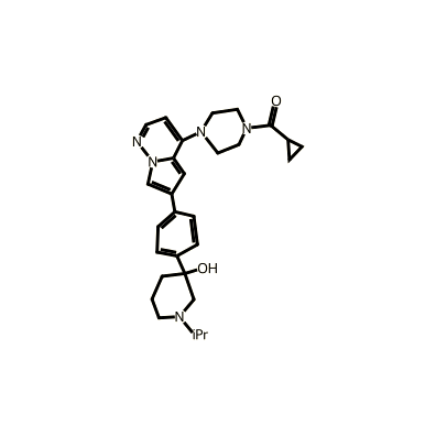 CC(C)N1CCCC(O)(c2ccc(-c3cc4c(N5CCN(C(=O)C6CC6)CC5)ccnn4c3)cc2)C1